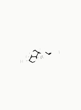 C=CC[S@@+]([O-])[C@]1(O)CO[C@@H]2[C@H](O)CO[C@@H]21